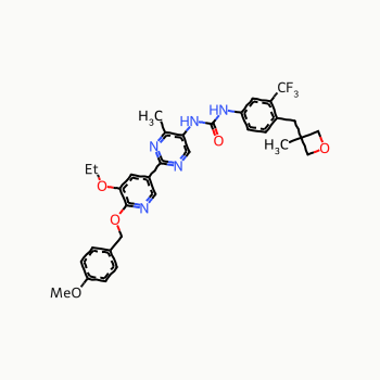 CCOc1cc(-c2ncc(NC(=O)Nc3ccc(CC4(C)COC4)c(C(F)(F)F)c3)c(C)n2)cnc1OCc1ccc(OC)cc1